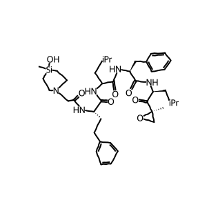 CC(C)CC(NC(=O)[C@H](CCc1ccccc1)NC(=O)CN1CC[Si](C)(O)CC1)C(=O)N[C@@H](Cc1ccccc1)C(=O)N[C@@H](CC(C)C)C(=O)[C@@]1(C)CO1